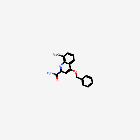 COc1cccc2c(OCc3ccccc3)cc(C(N)=O)nc12